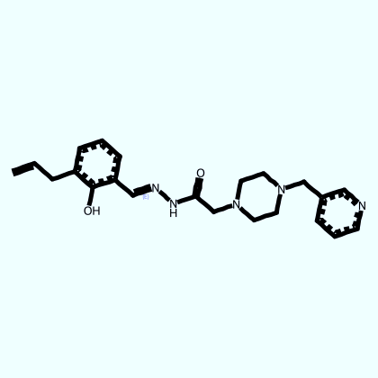 C=CCc1cccc(/C=N/NC(=O)CN2CCN(Cc3cccnc3)CC2)c1O